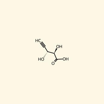 C#C[C@@H](O)[C@@H](O)C(=O)O